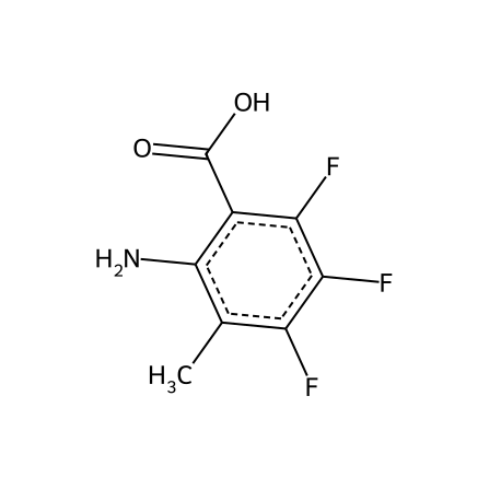 Cc1c(N)c(C(=O)O)c(F)c(F)c1F